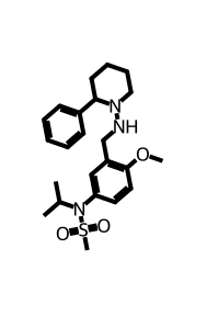 COc1ccc(N(C(C)C)S(C)(=O)=O)cc1CNN1CCCCC1c1ccccc1